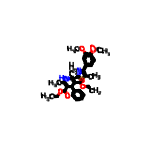 CCOC(=O)C1=C(C)NC(C)(c2nc(-c3ccc(OC)c(OC)c3)c(C)s2)C(C(=O)OCC)C1c1ccccc1